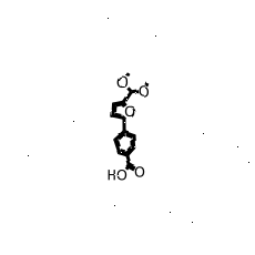 COC(OC)c1ccc(-c2ccc(C(=O)O)cc2)o1